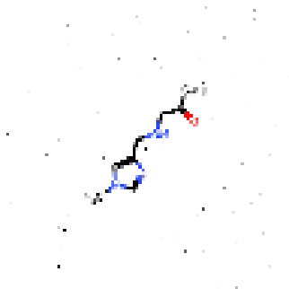 COC(=O)CNCc1cn(C)cn1